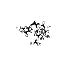 CCC(CC)COC(=O)[C@H](CC(C)C)N[PH](=O)OCC1(COC(=O)[C@@H](NC(=O)OC(C)(C)C)C(C)C)C/C1=C/n1cnc2c(=O)[nH]c(N)nc21